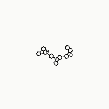 c1ccc2c(c1)-c1cccc3nc(-c4ccc(-n5c6ccccc6c6cc(-c7ccc8oc9ccc%10ccccc%10c9c8c7)ccc65)cc4)cc-2c13